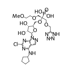 COCCOC[C@@](COCc1nnn[nH]1)(OC[C@H]1O[C@@H](n2ncc3c(NC4CCCC4)nc(Cl)nc32)[C@H](O)[C@@H]1O)P(=O)(O)O